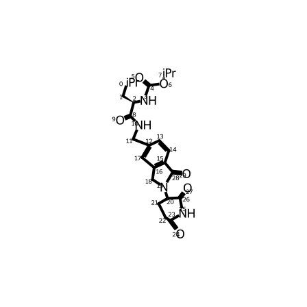 CC(C)C[C@@H](NC(=O)OC(C)C)C(=O)NCc1ccc2c(c1)CN(C1CCC(=O)NC1=O)C2=O